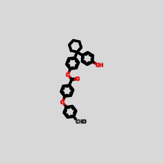 O=Cc1ccc(Oc2ccc(C(=O)Oc3ccc(C4(c5ccc(O)cc5)CCCCC4)cc3)cc2)cc1